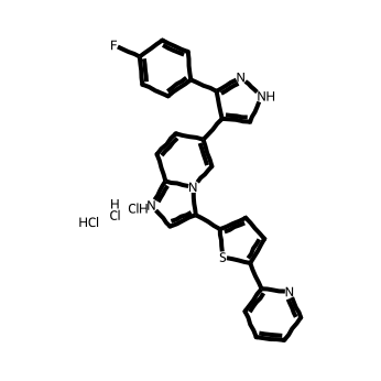 Cl.Cl.Cl.Fc1ccc(-c2n[nH]cc2-c2ccc3ncc(-c4ccc(-c5ccccn5)s4)n3c2)cc1